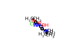 CC(C)Oc1ccc(C(=O)NC(CCO)Cc2ccc(-c3cn(C)c(C(C)(C)C)n3)cc2)c(N)c1Cl